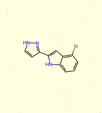 Brc1cccc2[nH]c(-c3cc[nH]n3)cc12